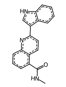 CNC(=O)c1cccc2nc(-c3c[nH]c4ccccc34)ccc12